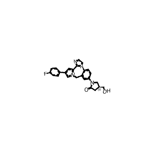 O=C1C[C@H](CO)CN1c1ccc2c(c1)Cn1cc(-c3ccc(F)cc3)cc1-c1nccn1-2